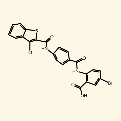 O=C(Nc1ccc(Br)cc1C(=O)O)c1ccc(NC(=O)c2sc3ccccc3c2Cl)cc1